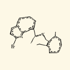 C/C(=N\c1c(C)cccc1C)c1cccc2ccc(Br)nc12